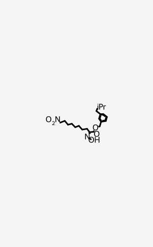 CC(C)Cc1cccc(COC(=O)/C(CCCCCCCC[N+](=O)[O-])=N\O)c1